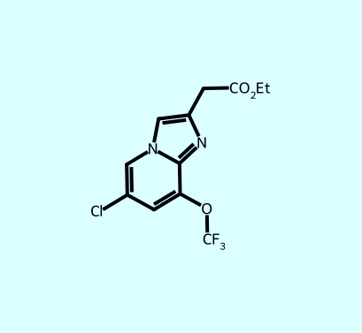 CCOC(=O)Cc1cn2cc(Cl)cc(OC(F)(F)F)c2n1